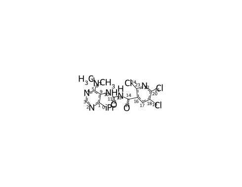 CC(C)c1ncnc(N(C)C)c1NC(=O)NC(=O)c1cc(Cl)c(Cl)nc1Cl